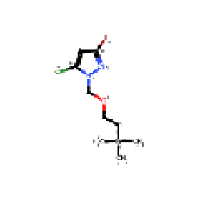 C[Si](C)(C)CCOCn1nc(Br)cc1Cl